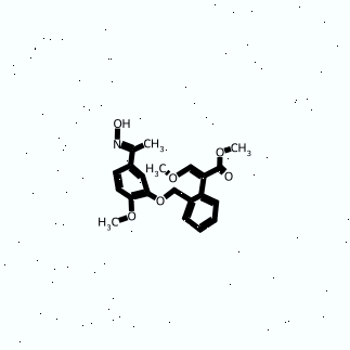 CO/C=C(/C(=O)OC)c1ccccc1COc1cc(/C(C)=N/O)ccc1OC